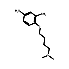 CN(C)CCCCOc1ccc(N)cc1N